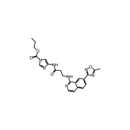 CCCOC(=O)n1cnc(NC(=O)CCNc2nccc3ccc(-c4noc(C)n4)cc23)c1